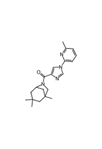 Cc1cccc(-n2cnc(C(=O)N3CC4(C)CC3CC(C)(C)C4)c2)n1